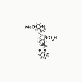 COc1ccc2nccc(CCC[C@@H]3CCN(CCSc4c(F)cccc4F)C[C@@H]3CC(=O)O)c2c1